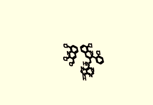 Clc1ccccc1-c1nc2c(Cl)cccc2cc1CNc1ncnc2[nH]cnc12.O=Cc1cc2cccc(Cl)c2nc1Cl